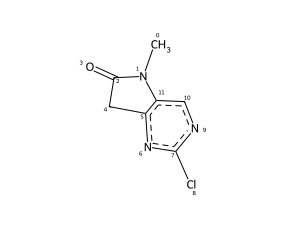 CN1C(=O)Cc2nc(Cl)ncc21